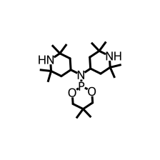 CC1(C)COP(N(C2CC(C)(C)NC(C)(C)C2)C2CC(C)(C)NC(C)(C)C2)OC1